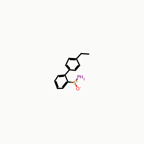 CCc1ccc(-c2ccccc2[S+]([O-])P)cc1